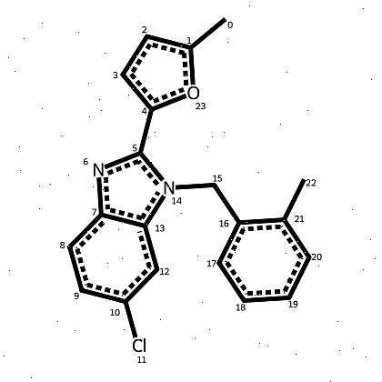 Cc1ccc(-c2nc3ccc(Cl)cc3n2Cc2ccccc2C)o1